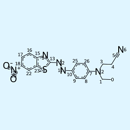 CCN(CCC#N)c1ccc(N=Nc2nc3ccc([N+](=O)[O-])cc3s2)cc1